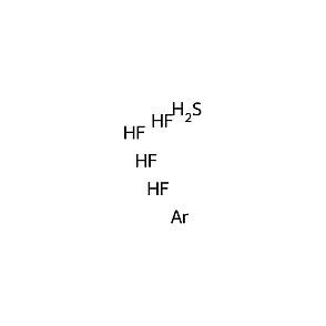 F.F.F.F.S.[Ar]